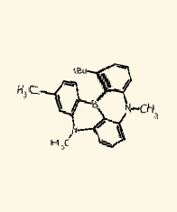 Cc1ccc2c(c1)N(C)c1cccc3c1B2c1c(cccc1C(C)(C)C)N3C